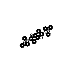 c1ccc(-c2cc3oc4cc(N(c5ccccc5)c5cccc6c5oc5ccccc56)ccc4c3c3c(-c4ccccc4)cc4oc5cc(N(c6ccccc6)c6cccc7c6oc6ccccc67)ccc5c4c23)cc1